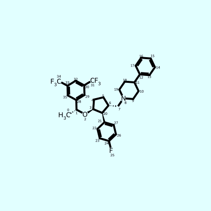 C[C@@H](O[C@H]1CC[C@H](CN2CCC(c3ccccc3)CC2)[C@H]1c1ccc(F)cc1)c1cc(C(F)(F)F)cc(C(F)(F)F)c1